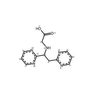 O=C(O)CNC(Cc1ncccn1)c1ncccn1